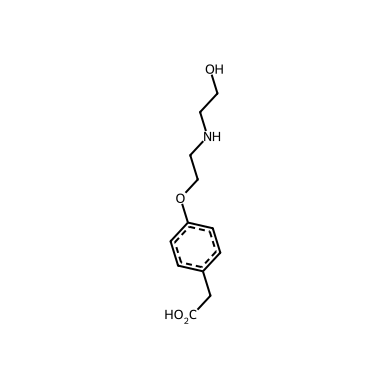 O=C(O)Cc1ccc(OCCNCCO)cc1